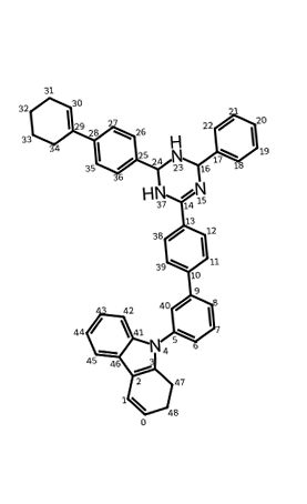 C1=Cc2c(n(-c3cccc(-c4ccc(C5=NC(c6ccccc6)NC(c6ccc(C7=CCCCC7)cc6)N5)cc4)c3)c3ccccc23)CC1